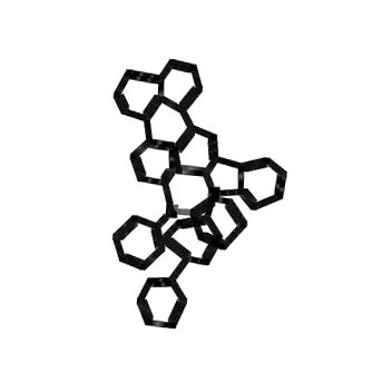 c1ccc(-c2ccc(-n3c4ccccc4c4cc(-c5cccc6cccc(-c7ccc(N(c8ccccc8)c8ccccc8)cc7)c56)ccc43)cc2)cc1